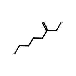 [CH2]CCCCC(=C)C[CH2]